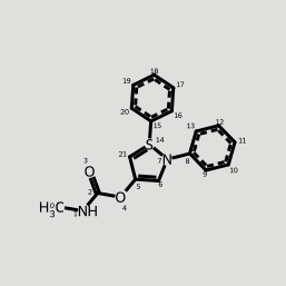 CNC(=O)OC1=CN(c2ccccc2)S(c2ccccc2)=C1